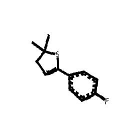 CC1(C)CC=C(c2ccc(F)cc2)S1